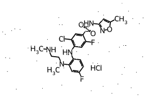 CNCCN(C)c1cc(F)ccc1Nc1cc(F)c(S(=O)(=O)Nc2cc(C)on2)cc1Cl.Cl